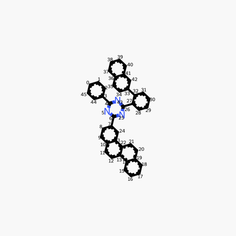 c1ccc(-c2nc(-c3ccc4ccc5c6ccccc6ccc5c4c3)nc(-c3ccccc3-c3ccc4ccccc4c3)n2)cc1